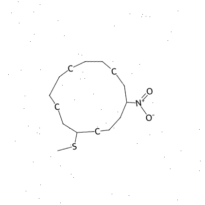 CSC1CCCCCCCCCC([N+](=O)[O-])CCC1